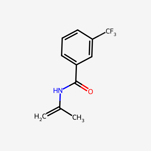 C=C(C)NC(=O)c1cccc(C(F)(F)F)c1